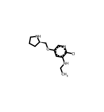 CCNc1cc(OC[C@H]2CCCN2)cnc1Cl